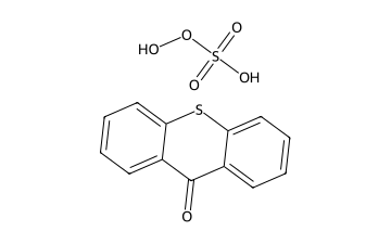 O=S(=O)(O)OO.O=c1c2ccccc2sc2ccccc12